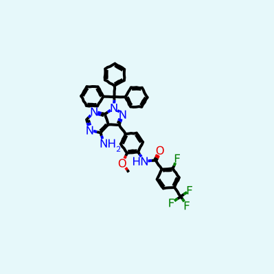 COc1cc(-c2nn(C(c3ccccc3)(c3ccccc3)c3ccccc3)c3ncnc(N)c23)ccc1NC(=O)c1ccc(C(F)(F)F)cc1F